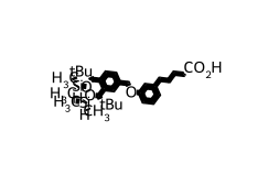 C[SiH](C)OC(c1ccc(COc2cccc(CCCCC(=O)O)c2)cc1C(O[SiH](C)C)C(C)(C)C)C(C)(C)C